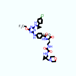 COC(=O)[C@@H](CCNC(=O)C(=O)NCC1(CN2CCOCC2)CC1)NC(=O)c1ccc(Nc2nc(NC3(c4ccc(Cl)cc4)CC3)nc(OCC(F)(F)F)n2)cc1